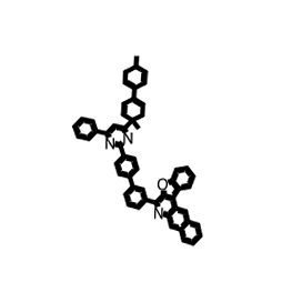 CC1C=CC(C2=CCC(C)(c3cc(-c4ccccc4)nc(-c4ccc(-c5cccc(-c6nc7cc8ccccc8cc7c7c6oc6ccccc67)c5)cc4)n3)C=C2)=CC1